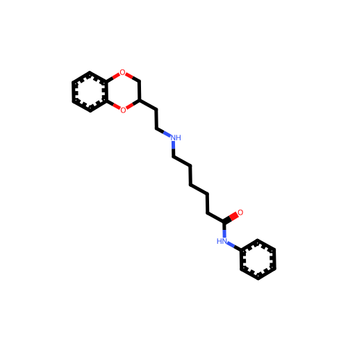 O=C(CCCCCNCCC1COc2ccccc2O1)Nc1ccccc1